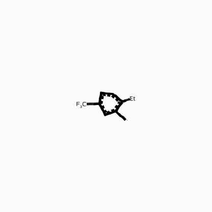 [CH2]c1cc(C(F)(F)F)ccc1CC